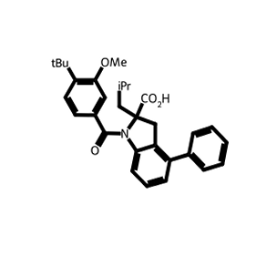 COc1cc(C(=O)N2c3cccc(-c4ccccc4)c3CC2(CC(C)C)C(=O)O)ccc1C(C)(C)C